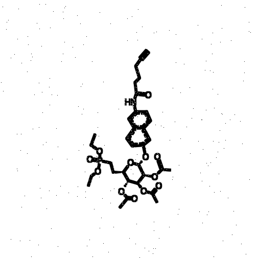 C#CCCCC(=O)Nc1ccc2cc(O[C@H]3O[C@H](CCP(=O)(OCC)OCC)[C@@H](OC(C)=O)[C@H](OC(C)=O)[C@@H]3OC(C)=O)ccc2c1